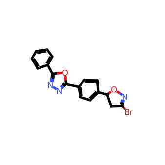 BrC1=NOC(c2ccc(-c3nnc(-c4ccccc4)o3)cc2)C1